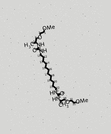 COCCOCC(C)NC(=O)NCCCCCCCCCCCCNC(=O)NC(C)COCCOC